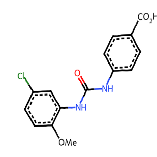 COc1ccc(Cl)cc1NC(=O)Nc1ccc(C(=O)O)cc1